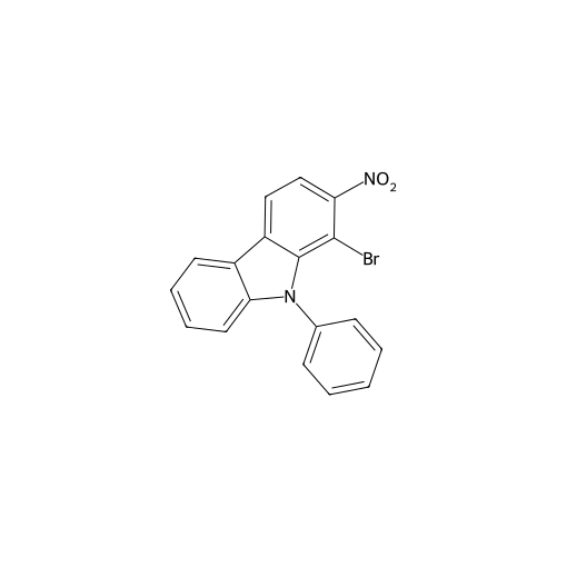 O=[N+]([O-])c1ccc2c3ccccc3n(-c3ccccc3)c2c1Br